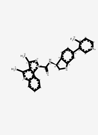 Cc1nc2ccccc2c2c1c(C)nn2C(=O)N[C@@H]1COc2cc(-c3cnccc3C(F)(F)F)ccc21